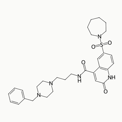 O=C(NCCCN1CCN(Cc2ccccc2)CC1)c1cc(=O)[nH]c2ccc(S(=O)(=O)N3CCCCCC3)cc12